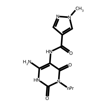 CCCn1c(=O)[nH]c(N)c(NC(=O)c2cnn(C)c2)c1=O